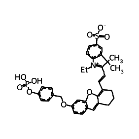 CC[N+]1=C(/C=C/C2=C3Oc4cc(OCc5ccc(OP(=O)(O)O)cc5)ccc4C=C3CCC2)C(C)(C)c2cc(S(=O)(=O)[O-])ccc21